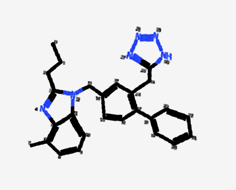 CCCc1nc2c(C)cccc2n1Cc1ccc(-c2ccccc2)c(Cc2nnn[nH]2)c1